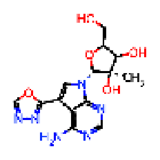 C[C@@]1(O)[C@H](O)C(CO)O[C@H]1n1cc(-c2nnco2)c2c(N)ncnc21